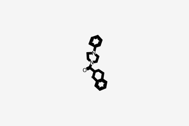 O=C(C1[C]c2ccccc2CC1)N1CCN(c2ccccc2)CC1